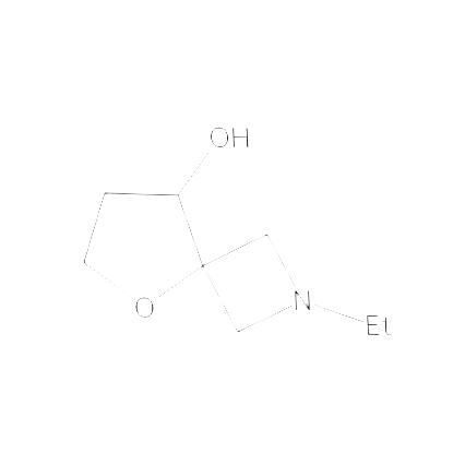 CCN1CC2(C1)OCCC2O